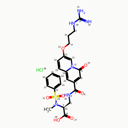 CN([C@@H](CNC(=O)c1cc(=O)n2cc(OCCCNC(=N)N)ccc2c1)C(=O)O)S(=O)(=O)c1ccccc1.Cl